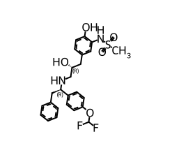 CS(=O)(=O)Nc1cc(C[C@@H](O)CN[C@H](Cc2ccccc2)c2ccc(OC(F)F)cc2)ccc1O